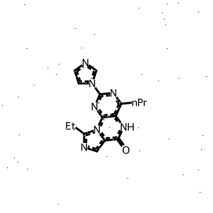 CCCc1nc(-n2ccnc2)nc2c1[nH]c(=O)c1cnc(CC)n12